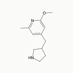 COc1cc(CC2CCNC2)cc(C)n1